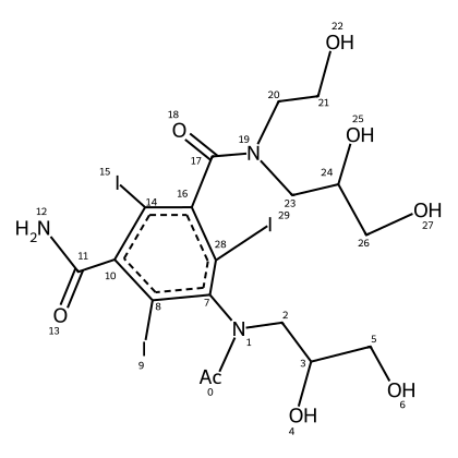 CC(=O)N(CC(O)CO)c1c(I)c(C(N)=O)c(I)c(C(=O)N(CCO)CC(O)CO)c1I